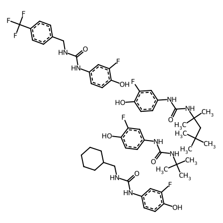 CC(C)(C)CC(C)(C)NC(=O)Nc1ccc(O)c(F)c1.CC(C)(C)NC(=O)Nc1ccc(O)c(F)c1.O=C(NCC1CCCCC1)Nc1ccc(O)c(F)c1.O=C(NCc1ccc(C(F)(F)F)cc1)Nc1ccc(O)c(F)c1